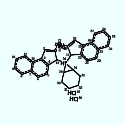 CCCCC1=Cc2c(ccc3ccccc23)[CH]1[Hf]1([CH]2C(CCCC)=Cc3c2ccc2ccccc32)[CH]2CCCC[CH]21.Cl.Cl